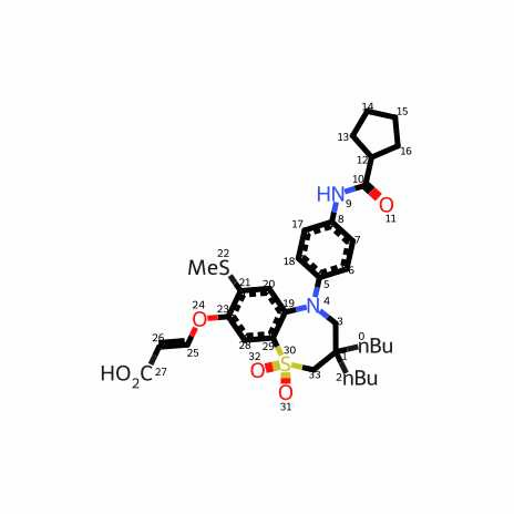 CCCCC1(CCCC)CN(c2ccc(NC(=O)C3CCCC3)cc2)c2cc(SC)c(OC=CC(=O)O)cc2S(=O)(=O)C1